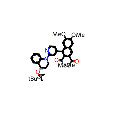 COC(=O)c1cc2cc(OC)c(OC)cc2c(-c2ccnc(N3CC[C@H](O[Si](C)(C)C(C)(C)C)c4ccccc43)c2)c1C(=O)OC